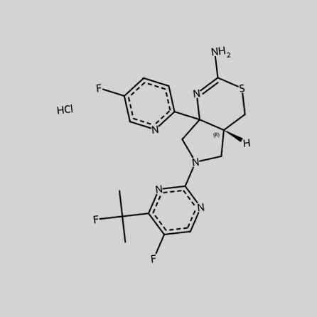 CC(C)(F)c1nc(N2C[C@H]3CSC(N)=NC3(c3ccc(F)cn3)C2)ncc1F.Cl